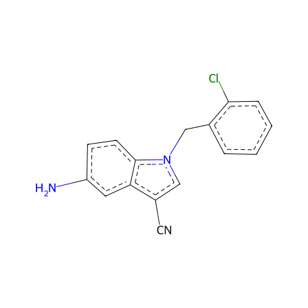 N#Cc1cn(Cc2ccccc2Cl)c2ccc(N)cc12